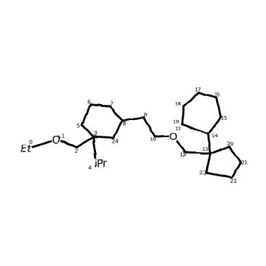 CCOCC1(C(C)C)CCCC(CCOCC2(C3CCCCC3)CCCC2)C1